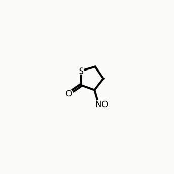 O=NC1CCSC1=O